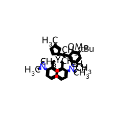 COc1c(C(C)(C)C)cc(C)cc1C(C)(C)[C]1([Y]([CH2]c2ccccc2N(C)C)[CH2]c2ccccc2N(C)C)C=CC(C)=C1